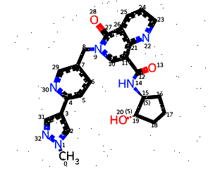 Cn1cc(-c2ccc(Cn3cc(C(=O)N[C@H]4CCC[C@@H]4O)c4ncccc4c3=O)cn2)cn1